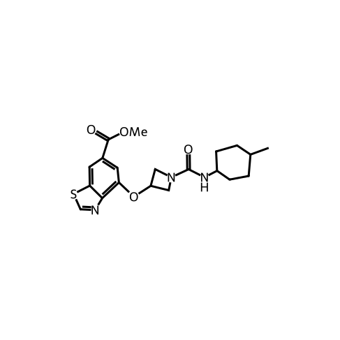 COC(=O)c1cc(OC2CN(C(=O)NC3CCC(C)CC3)C2)c2ncsc2c1